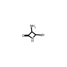 CC(C)C1NC(=O)C1N